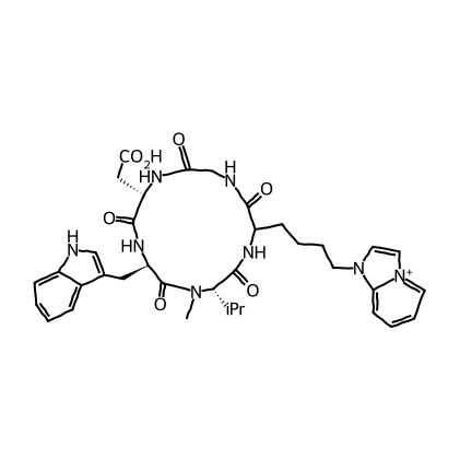 CC(C)[C@H]1C(=O)NC(CCCCn2cc[n+]3ccccc23)C(=O)NCC(=O)N[C@@H](CC(=O)O)C(=O)N[C@H](Cc2c[nH]c3ccccc23)C(=O)N1C